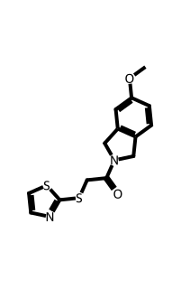 COc1ccc2c(c1)CN(C(=O)CSc1nccs1)C2